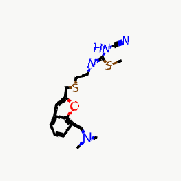 CSC(=NCCSCc1cc2cccc(CN(C)C)c2o1)NC#N